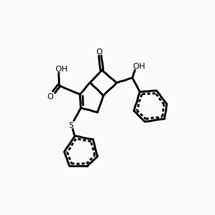 O=C(O)C1=C(Sc2ccccc2)CC2C1C(=O)C2C(O)c1ccccc1